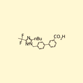 CCCCc1nc(C(C)(F)F)nn1Cc1ccc(-c2cccc(C(=O)O)c2)cc1